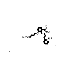 CCCCCCCCCCCCCCOc1cccc(C(=O)N(CCCc2cccc[n+]2CCC)C(C)=O)c1C.[I-]